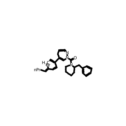 C\C=C(/C=C\C(Br)=C\CCC)C1=CN(C(=O)N2CCCCC2Cc2ccccc2)N=C=CC1